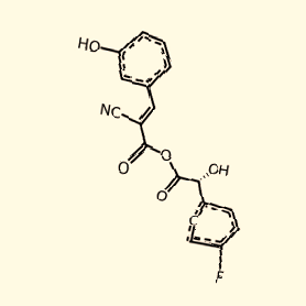 N#C/C(=C\c1cccc(O)c1)C(=O)OC(=O)[C@H](O)c1ccc(F)cc1